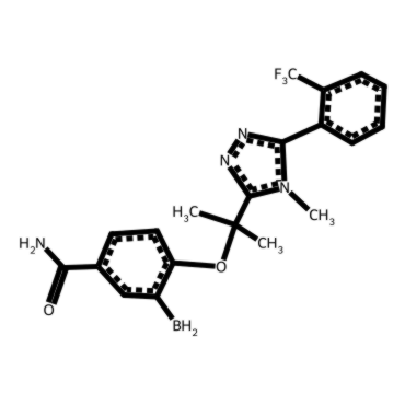 Bc1cc(C(N)=O)ccc1OC(C)(C)c1nnc(-c2ccccc2C(F)(F)F)n1C